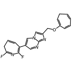 FC1=NC(F)=C(c2cnc3nc(COC4=CCC=CC=C4)cn3c2)C=CC1